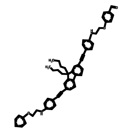 CCCCC1(CCCC)c2cc(C#Cc3ccc(NCCOc4ccccc4)cc3)ccc2-c2ccc(C#Cc3ccc(NCCOc4ccc(C=O)cc4)cc3)cc21